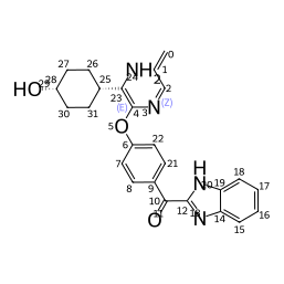 C=C/C=N\C(Oc1ccc(C(=O)c2nc3ccccc3[nH]2)cc1)=C(/N)[C@H]1CC[C@@H](O)CC1